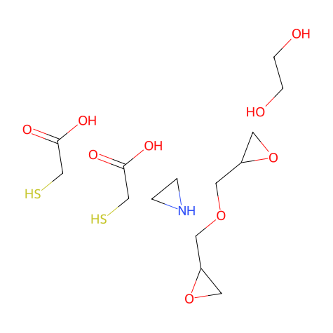 C(OCC1CO1)C1CO1.C1CN1.O=C(O)CS.O=C(O)CS.OCCO